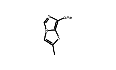 CSc1ncn2cc(C)sc12